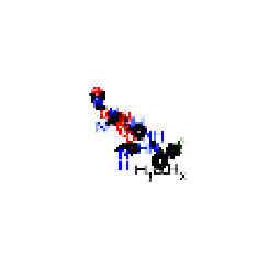 CC1(C)CCC(CNCCNc2ccc(C(=O)NS(=O)(=O)c3cnc(OCCN4CCOCC4)c(C#N)c3)c(Oc3cccc4[nH]ccc34)c2)=C(c2ccc(Cl)cc2)C1